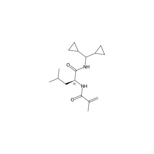 C=C(C)C(=O)N[C@@H](CC(C)C)C(=O)NC(C1CC1)C1CC1